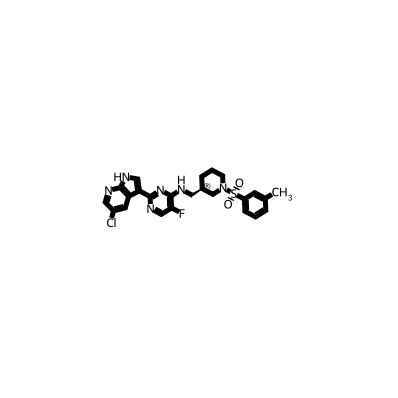 Cc1cccc(S(=O)(=O)N2CCC[C@H](CNc3nc(-c4c[nH]c5ncc(Cl)cc45)ncc3F)C2)c1